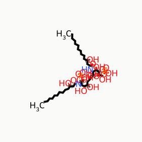 CCCCCCCCCCC[C@@H](O)CC(=O)NC1C(O)[C@H](OP(=O)(O)O)C(CO)O[C@H]1OCC1O[C@@]2(OP(=O)(O)O)C(C(O)[C@@H]1O)N2C(=O)C[C@H](O)CCCCCCCCCCC